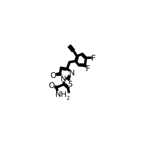 C#Cc1cc(F)c(F)cc1Cc1cc(=O)n2c(C(N)=O)c(C)sc2n1